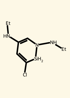 CCNC1=CN(NCC)[SiH2]C(Cl)=C1